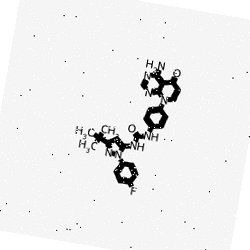 CC(C)(C)c1cc(NC(=O)Nc2ccc(-n3ccc(=O)c4c(N)ncnc43)cc2)n(-c2ccc(F)cc2)n1